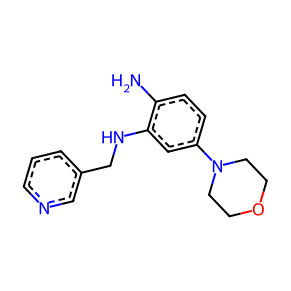 Nc1ccc(N2CCOCC2)cc1NCc1cccnc1